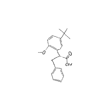 COc1ccc(C(C)(C)C)cc1C(Cc1ccccc1)C(=O)O